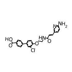 Nc1ccc(C=CC(=O)NCCOc2ccc(-c3ccc(C(=O)O)cc3)cc2Cl)cn1